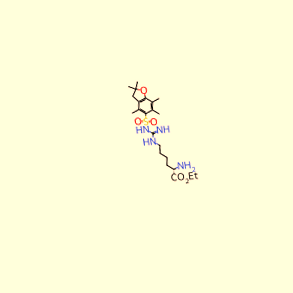 CCOC(=O)[C@@H](N)CCCCNC(=N)NS(=O)(=O)c1c(C)c(C)c2c(c1C)CC(C)(C)O2